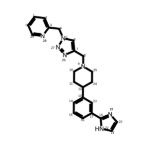 c1ccc(Cn2cc(CN3CCC(c4cccc(-c5ncc[nH]5)c4)CC3)nn2)nc1